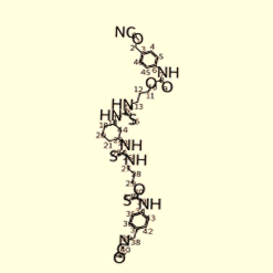 N#COCc1ccc(NC(=O)OCCCNC(=S)NC2CCCC(NC(=S)NCCCOC(=S)Nc3ccc(CN=C=O)cc3)C2)cc1